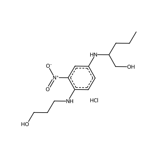 CCCC(CO)Nc1ccc(NCCCO)c([N+](=O)[O-])c1.Cl